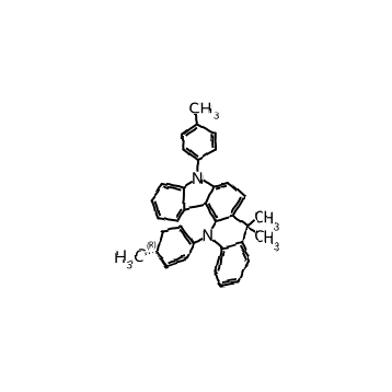 Cc1ccc(-n2c3ccccc3c3c4c(ccc32)C(C)(C)c2ccccc2N4C2=CC[C@@H](C)C=C2)cc1